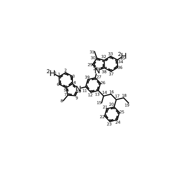 [2H]c1ccc2c(c1)c(C)cn2-c1cc(C(C)CC(CC)c2ccccc2)cc(-n2cc(C)c3cc([2H])ccc32)c1